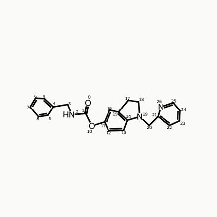 O=C(NCc1ccccc1)Oc1ccc2c(c1)CCN2Cc1ccccn1